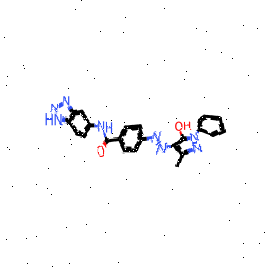 Cc1nn(-c2ccccc2)c(O)c1N=Nc1ccc(C(=O)Nc2ccc3[nH]nnc3c2)cc1